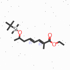 CCOC(=O)/C(C)=C/C=C/CC(C)O[Si](C)(C)C(C)(C)C